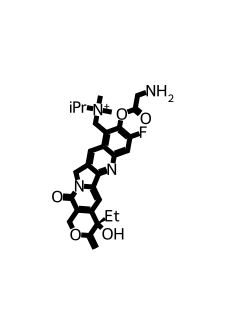 C=C1OCc2c(cc3n(c2=O)Cc2cc4c(C[N+](C)(C)C(C)C)c(OC(=O)CN)c(F)cc4nc2-3)[C@@]1(O)CC